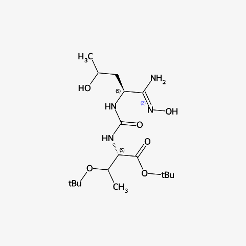 CC(O)C[C@H](NC(=O)N[C@H](C(=O)OC(C)(C)C)C(C)OC(C)(C)C)/C(N)=N/O